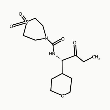 CCC(=O)[C@@H](NC(=O)N1CCS(=O)(=O)CC1)C1CCOCC1